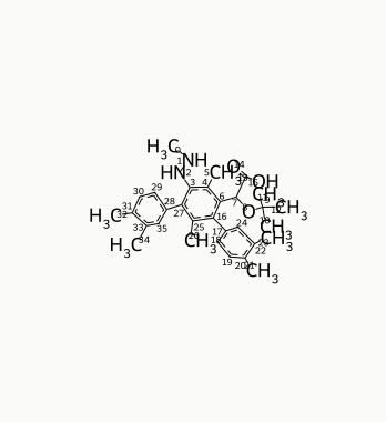 CNNc1c(C)c(C(OC(C)(C)C)C(=O)O)c(-c2ccc(C)c(C)c2)c(C)c1-c1ccc(C)c(C)c1